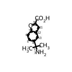 CC(C)(N)c1ccc2oc(C(=O)O)cc2c1